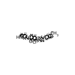 C[C@H]1CC2(CCN(c3cnc(Sc4ccc5ncn(Cc6ccc7cc[nH]c7n6)c(=O)c5c4Cl)cn3)CC2)CO1